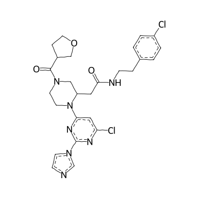 O=C(CC1CN(C(=O)C2CCOC2)CCN1c1cc(Cl)nc(-n2ccnc2)n1)NCCc1ccc(Cl)cc1